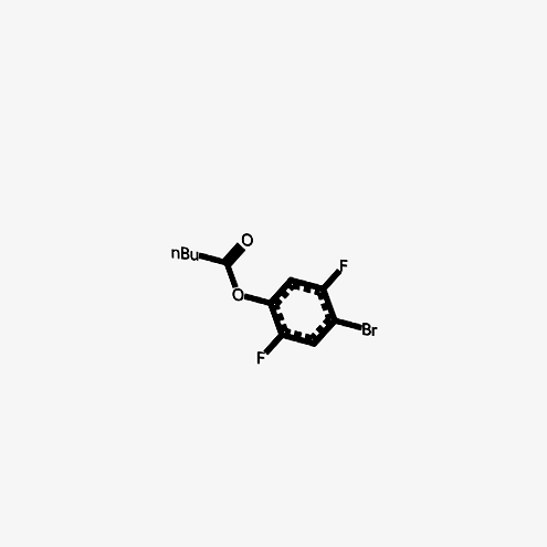 CCCCC(=O)Oc1cc(F)c(Br)cc1F